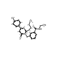 N#CCNC(=O)c1cccc(Cn2c(CCCC(F)(F)F)nc(-c3ccc(Cl)cc3)cc2=O)c1